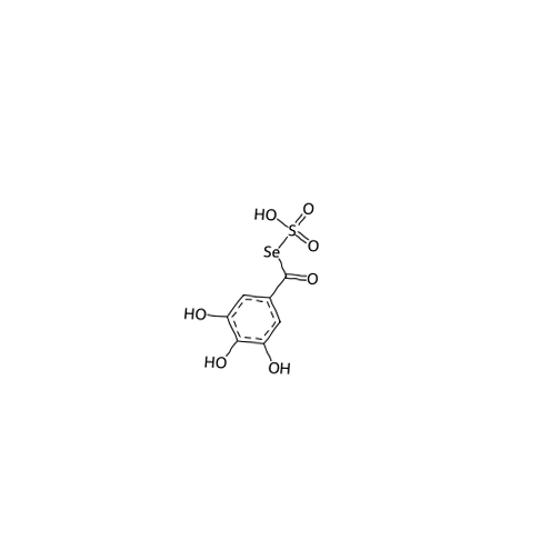 O=C([Se]S(=O)(=O)O)c1cc(O)c(O)c(O)c1